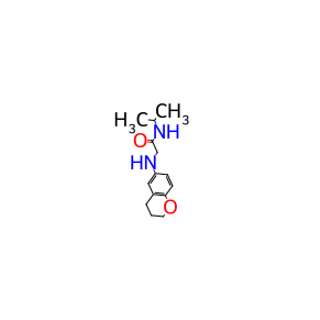 CC(C)NC(=O)CNc1ccc2c(c1)CCCO2